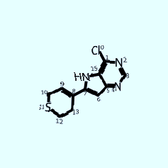 Clc1ncnc2cc(C3=CCSCC3)[nH]c12